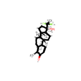 C[C@]12C=CC(=O)C(C(F)(F)F)=C1CC[C@@H]1[C@@H]2CC[C@@]2(C)[C@H]1CC[C@@]2(O)C(F)(F)C(F)(F)F